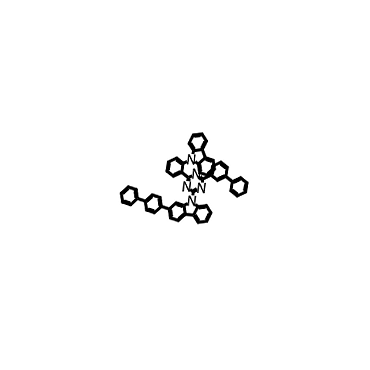 c1ccc(-c2ccc(-c3ccc4c5ccccc5n(-c5nc(-c6cccc(-c7ccccc7)c6)nc(-c6ccccc6-n6c7ccccc7c7ccccc76)n5)c4c3)cc2)cc1